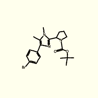 Cc1c(-c2ccc(Br)cc2)nc(C2CCCN2C(=O)OC(C)(C)C)n1C